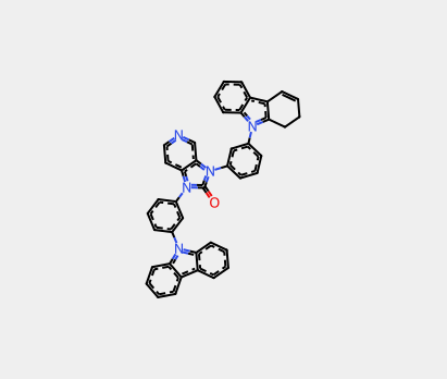 O=c1n(-c2cccc(-n3c4ccccc4c4ccccc43)c2)c2ccncc2n1-c1cccc(-n2c3c(c4ccccc42)C=CCC3)c1